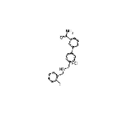 Cl.NC(=O)c1cccc(-c2ccc(CNCc3ccccc3Cl)cc2)c1